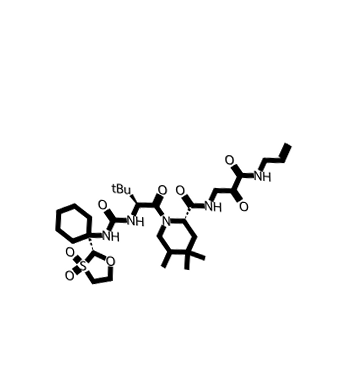 C=CCNC(=O)C(=O)CNC(=O)[C@@H]1CC(C)(C)C(C)CN1C(=O)[C@@H](NC(=O)NC1([C@@H]2OCCS2(=O)=O)CCCCC1)C(C)(C)C